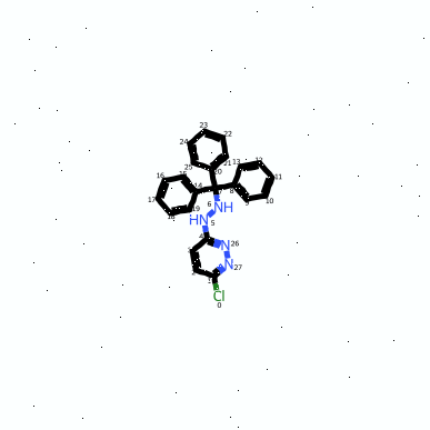 Clc1ccc(NNC(c2ccccc2)(c2ccccc2)c2ccccc2)nn1